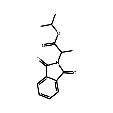 CC(C)OC(=O)C(C)N1C(=O)c2ccccc2C1=O